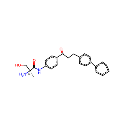 C[C@](N)(CO)C(=O)Nc1ccc(C(=O)CCc2ccc(-c3ccccc3)cc2)cc1